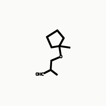 CC(C=O)COC1(C)CCCC1